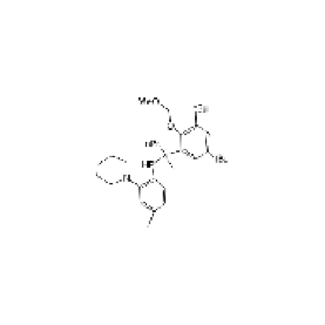 CCCC(C)(Pc1ccc(C)cc1N1CCCCC1)c1cc(C(C)(C)C)cc(C(C)(C)C)c1OCOC